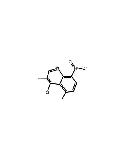 Cc1cnc2c([N+](=O)[O-])ccc(C)c2c1Cl